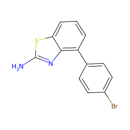 Nc1nc2c(-c3ccc(Br)cc3)cccc2s1